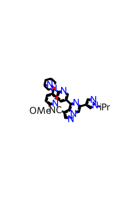 COc1ccc(CN2C3CC2CN(c2ccc(-c4nc(-c5cnn(C(C)C)c5)cn5ncc(C#N)c45)cn2)C3)cn1